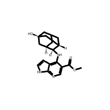 COC(=O)c1cnc2[nH]ccc2c1N[C@H]1[C@@H]2CC3C[C@H]1C[C@@](O)(C3)C2